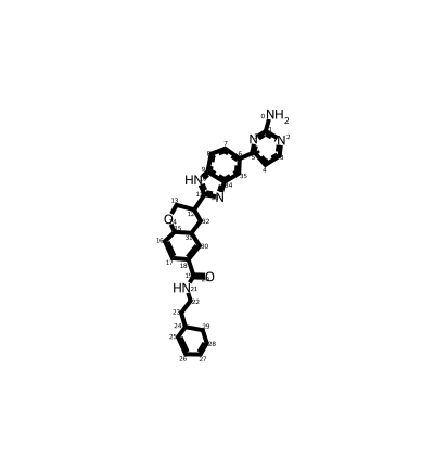 Nc1nccc(-c2ccc3[nH]c(C4COC5C=CC(C(=O)NCCC6C=CC=CC6)=CC5C4)nc3c2)n1